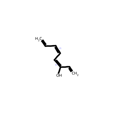 C=C/C=C\C=C(\O)C=C